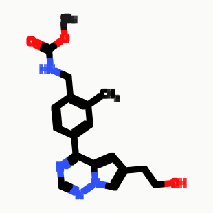 Cc1cc(-c2ncnn3cc(CCO)cc23)ccc1CNC(=O)OC(C)(C)C